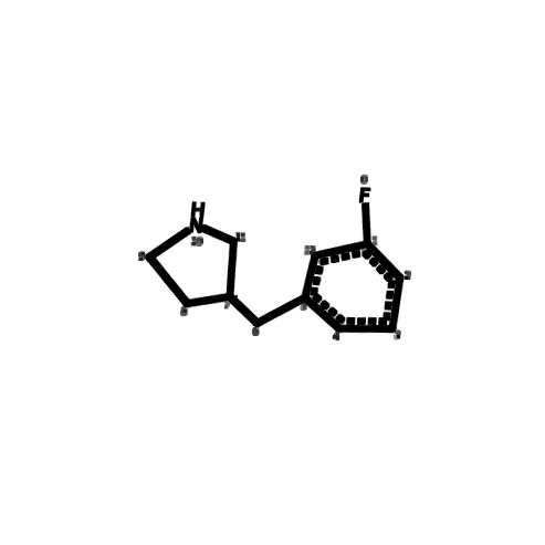 Fc1cccc(C[C]2CCNC2)c1